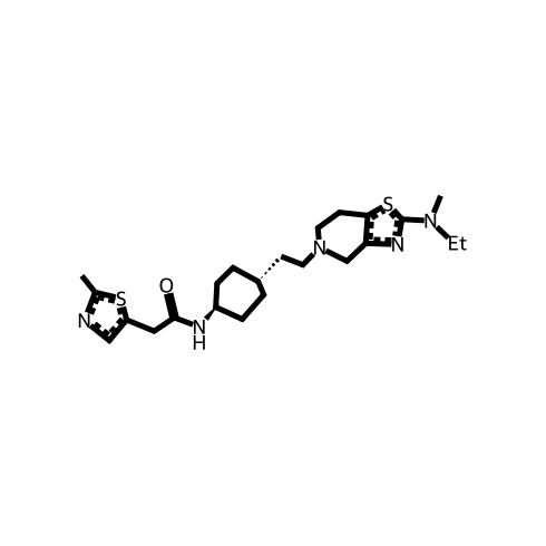 CCN(C)c1nc2c(s1)CCN(CC[C@H]1CC[C@H](NC(=O)Cc3cnc(C)s3)CC1)C2